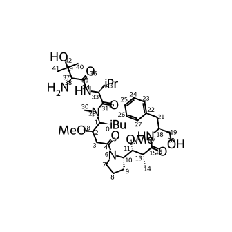 CC[C@H](C)[C@@H]([C@@H](CC(=O)N1CCC[C@H]1[C@H](OC)[C@@H](C)C(=O)N[C@H](CO)Cc1ccccc1)OC)N(C)C(=O)[C@@H](NC(=O)[C@@H](N)C(C)(C)O)C(C)C